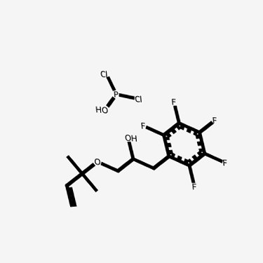 C=CC(C)(C)OCC(O)Cc1c(F)c(F)c(F)c(F)c1F.OP(Cl)Cl